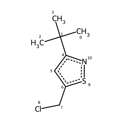 CC(C)(C)c1cc(CCl)sn1